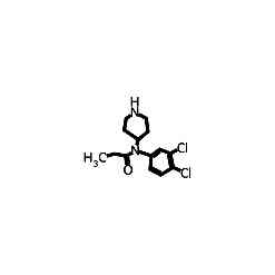 CCC(=O)N(c1ccc(Cl)c(Cl)c1)C1CCNCC1